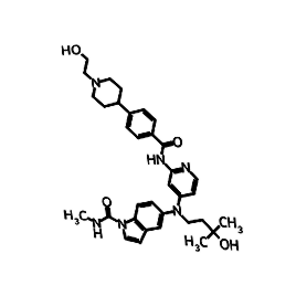 CNC(=O)n1ccc2cc(N(CCC(C)(C)O)c3ccnc(NC(=O)c4ccc(C5CCN(CCO)CC5)cc4)c3)ccc21